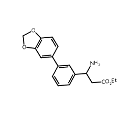 CCOC(=O)CC(N)c1cccc(-c2ccc3c(c2)OCO3)c1